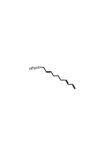 [CH]=CC=CCCCC=CCCCCCC